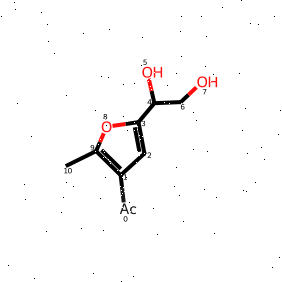 CC(=O)c1cc(C(O)CO)oc1C